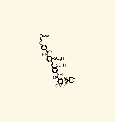 COCCOc1ccc(C(=O)Nc2ccc(/C=C/c3ccc(NC(=O)c4ccc(OC)c(S(=O)(=O)N5CCOCC5)c4)cc3S(=O)(=O)O)c(S(=O)(=O)O)c2)cc1